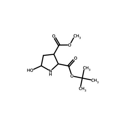 COC(=O)C1CC(O)NC1C(=O)OC(C)(C)C